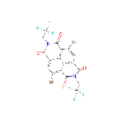 O=C1c2cc(Br)c3c4c(cc(Br)c(c24)C(=O)N1CC(F)(F)F)C(=O)N(CC(F)(F)F)C3=O